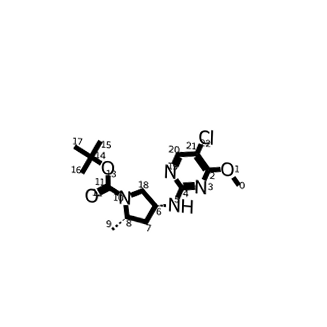 COc1nc(N[C@@H]2C[C@H](C)N(C(=O)OC(C)(C)C)C2)ncc1Cl